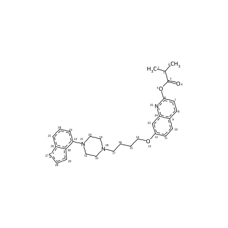 CC(C)C(=O)Oc1ccc2ccc(OCCCCN3CCN(c4cccc5sccc45)CC3)cc2n1